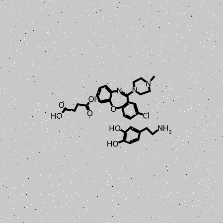 CN1CCN(C2=Nc3ccccc3Oc3ccc(Cl)cc32)CC1.NCCc1ccc(O)c(O)c1.O=C(O)CCC(=O)O